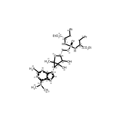 CCOC(=O)[C@H](CC(C)C)NP(=O)(N[C@@H](CC(C)C)C(=O)OCC)OC[C@H]1OC2(C)[C@@H](n3cnc4c(N(C)C)nc(N)nc43)C2(O)C1O